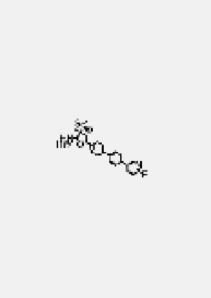 CC(CCN1CC=C(c2ccc(-c3ccc(F)nc3)cc2)CC1)(C(=O)NO)S(C)(=O)=O